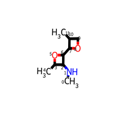 CNC1C(C)OC1C1OCC1C